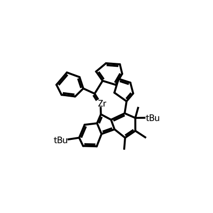 CC1=C(C)C(C)(C(C)(C)C)C(C2=CC=CC2)=C2[C]([Zr]=[C](c3ccccc3)c3ccccc3)=c3cc(C(C)(C)C)ccc3=C12